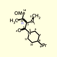 C=N/C(C(=O)N1CCC(C(C)C)CC1)=C(/C)OC